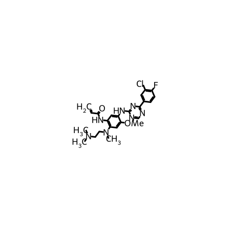 C=CC(=O)Nc1cc(Nc2ncnc(-c3ccc(F)c(Cl)c3)n2)c(OC)cc1N(C)CCN(C)C